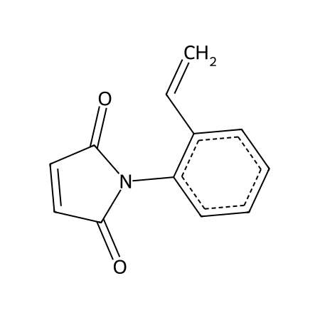 C=Cc1ccccc1N1C(=O)C=CC1=O